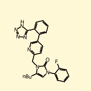 CCCCc1cn(-c2ccccc2F)c(=O)n1Cc1ccc(-c2ccccc2-c2nnn[nH]2)cn1